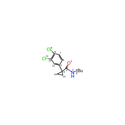 CC(C)(C)NC(=O)C1(c2ccc(Cl)c(Cl)c2)CC1